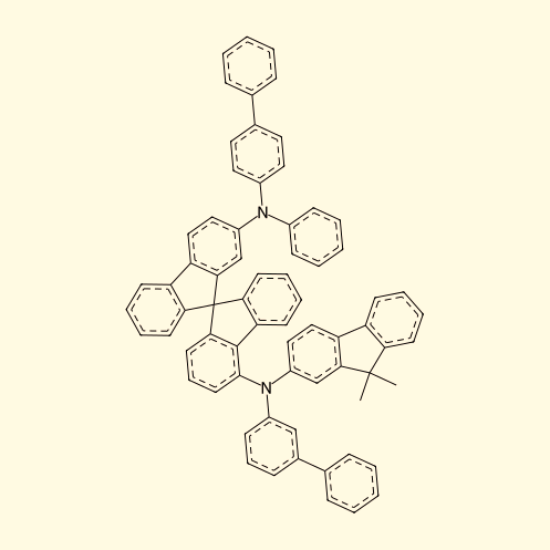 CC1(C)c2ccccc2-c2ccc(N(c3cccc(-c4ccccc4)c3)c3cccc4c3-c3ccccc3C43c4ccccc4-c4ccc(N(c5ccccc5)c5ccc(-c6ccccc6)cc5)cc43)cc21